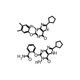 CCCn1c(Oc2ccc(C)c(C)c2)nc(=O)c2c1N=C(C1CCCC1)[N]2.CCCn1c(Oc2ccccc2C(N)=O)nc2nc(C3CCCC3)[nH]c2c1=O